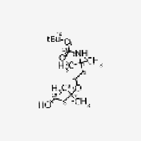 CC(C)(CCOC(C)(C)CCO)NC(=O)OC(C)(C)C